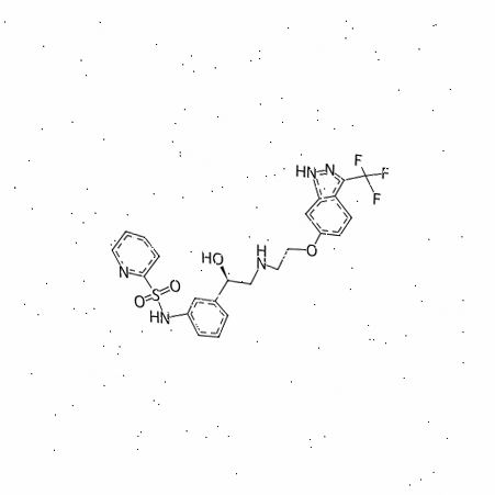 O=S(=O)(Nc1cccc([C@@H](O)CNCCOc2ccc3c(C(F)(F)F)n[nH]c3c2)c1)c1ccccn1